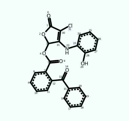 O=C1OC(OC(=O)c2ccccc2C(=O)c2ccccc2)C(Nc2ccccc2O)=C1Cl